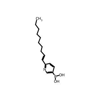 CCCCCCCC/C=C/c1ccc(B(O)O)cn1